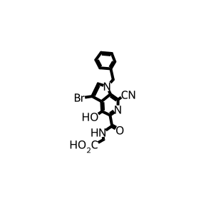 N#Cc1nc(C(=O)NCC(=O)O)c(O)c2c(Br)cn(Cc3ccccc3)c12